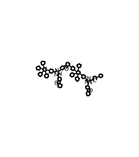 c1ccc(-c2ccc(-c3nc(-c4ccc(-c5cc(-c6ccccc6)c(-c6ccc(-c7cccc8c7oc7cc(-c9nc(-c%10ccc(-c%11cc(-c%12ccccc%12)c(-c%12ccccc%12)c(-c%12ccccc%12)c%11-c%11ccccc%11)cc%10)nc(-c%10ccc%11c(c%10)oc%10ccccc%10%11)n9)ccc78)cc6)c(-c6ccccc6)c5-c5ccccc5)cc4)nc(-c4ccc5c(c4)oc4ccccc45)n3)cc2)cc1